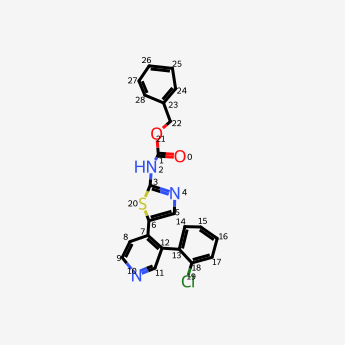 O=C(Nc1ncc(-c2ccncc2-c2ccccc2Cl)s1)OCc1ccccc1